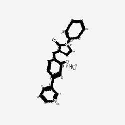 Cl.O=C1C(Cc2ccc(-c3cccnc3)cc2Cl)CCN1C1CCCCC1